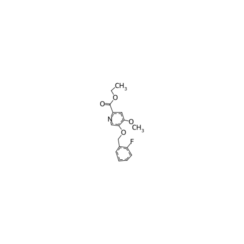 CCOC(=O)c1cc(OC)c(OCc2ccccc2F)cn1